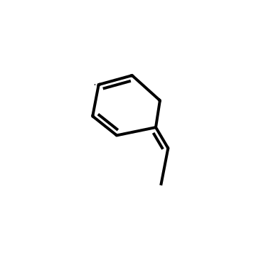 CC=C1C=C[C]=CC1